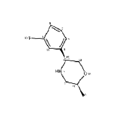 C[C@H]1CN[C@@H](c2cccc(F)c2)CO1